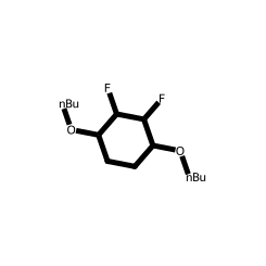 CCCCOC1CCC(OCCCC)C(F)C1F